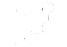 CC(C)CCSc1ccccc1/C=C/C(=O)N1CCC(O)CC1